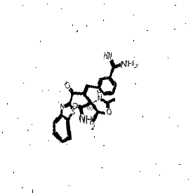 CC(=O)N[C@@](C(N)=O)(C(C)C)C(Cc1cccc(C(=N)N)c1)C(=O)c1nc2ccccc2s1